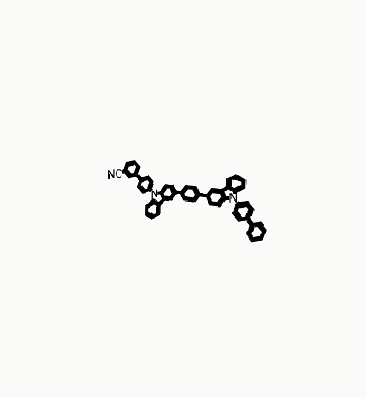 N#Cc1cccc(-c2ccc(-n3c4ccccc4c4cc(-c5ccc(C6C=c7c(n(-c8ccc(-c9ccccc9)cc8)c8ccccc78)=CC6)cc5)ccc43)cc2)c1